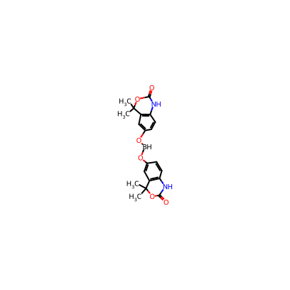 CC1(C)OC(=O)Nc2ccc(OBOc3ccc4c(c3)C(C)(C)OC(=O)N4)cc21